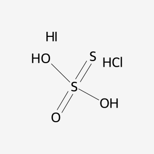 Cl.I.O=S(O)(O)=S